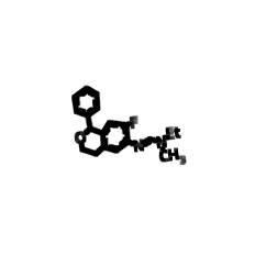 CCN(C)/C=N/c1cc2c(cc1F)C(c1ccccc1)OCC2